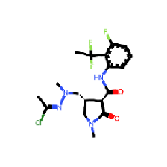 C/C(Cl)=N\N(C)C[C@H]1CN(C)C(=O)[C@@H]1C(=O)Nc1cccc(F)c1C(C)(F)F